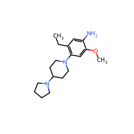 CCc1cc(N)c(OC)cc1N1CCC(N2CCCC2)CC1